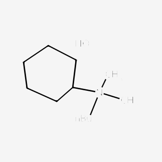 CCCC[N+](C)(C)C1CCCCC1.[OH-]